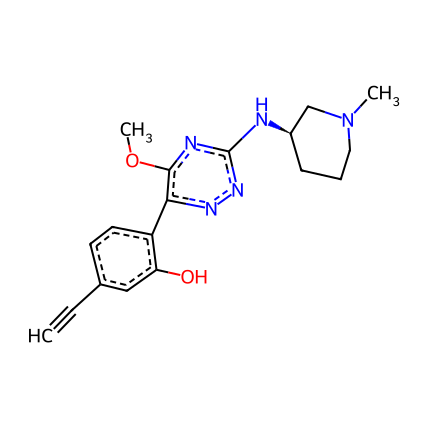 C#Cc1ccc(-c2nnc(N[C@@H]3CCCN(C)C3)nc2OC)c(O)c1